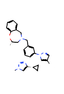 CC[C@@H]1CN(Cc2cccc(-n3ncc(C(=O)O)c3[C@@H]3C[C@H]3c3cn(C)nn3)c2)Cc2ccccc2O1